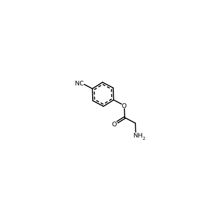 N#Cc1ccc(OC(=O)CN)cc1